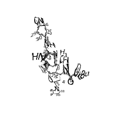 Cc1c([C@@H](CC(=O)N2CCCC2)NC(=O)OC(C)(C)C)ccc2[nH]c(CNc3ccc(C#N)cc3)nc12